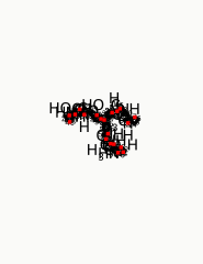 Cc1[nH]c2ccccc2c1CC(=O)N[C@@H](CC(=O)O)C(=O)Nc1ccc(C(c2ccc(NC(=O)[C@H](CC(=O)O)NC(=O)Cc3c(C)[nH]c4ccccc34)cc2)c2ccc(NC(=O)[C@H](CC(=O)O)NC(=O)Cc3c(C)[nH]c4ccccc34)cc2)cc1